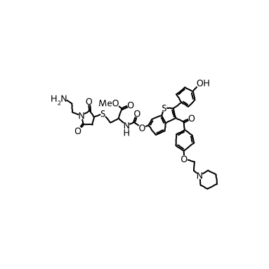 COC(=O)C(CSC1CC(=O)N(CCN)C1=O)NC(=O)Oc1ccc2c(C(=O)c3ccc(OCCN4CCCCC4)cc3)c(-c3ccc(O)cc3)sc2c1